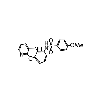 COc1ccc(S(=O)(=O)Nc2cccc3c2Nc2cccnc2O3)cc1